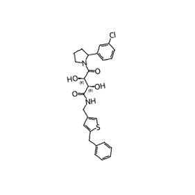 O=C(NCc1csc(Cc2ccccc2)c1)[C@H](O)[C@@H](O)C(=O)N1CCCC1c1cccc(Cl)c1